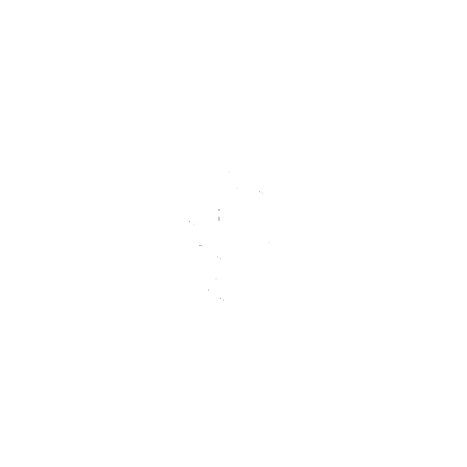 CN1CC[C@@]2(CC[C@H](c3cc(-c4cn(C)c5ccccc45)ccn3)N2)C1=O.Cl